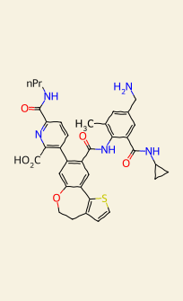 CCCNC(=O)c1ccc(-c2cc3c(cc2C(=O)Nc2c(C)cc(CN)cc2C(=O)NC2CC2)-c2sccc2CCO3)c(C(=O)O)n1